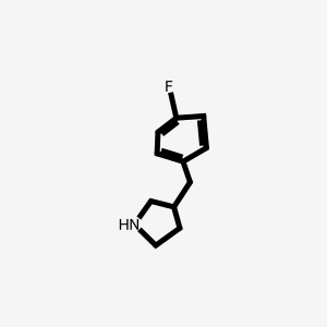 Fc1ccc(CC2CCNC2)cc1